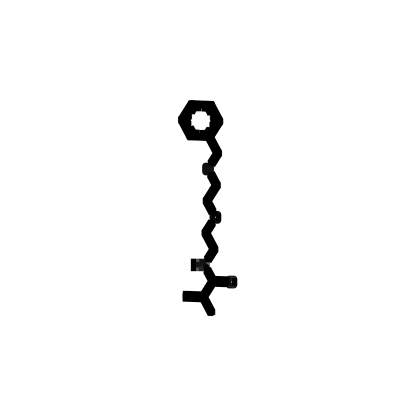 C=C(C)C(=O)NCCOCCOCc1ccccc1